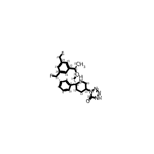 C[C@@H](OC[C@@]1(c2ccccc2)CCC(n2nn[nH]c2=O)CN1)c1cc(CF)cc(CF)c1